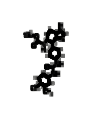 CC(C)(C)OC(=O)Nc1ccc2[nH]cnc2c1-c1ccc(NC(=O)Nc2ccc(Cl)c(C(F)(F)F)c2)cc1